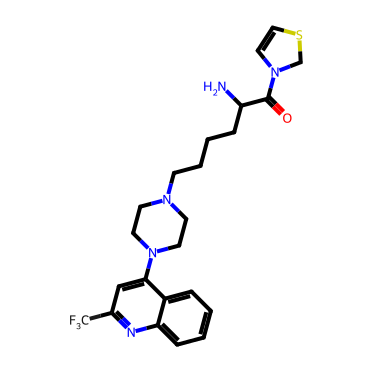 NC(CCCCN1CCN(c2cc(C(F)(F)F)nc3ccccc23)CC1)C(=O)N1C=CSC1